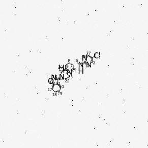 Clc1cnc(NC[C@H]2CC[C@H]3CN(c4noc5ccccc45)CCN3C2)nc1